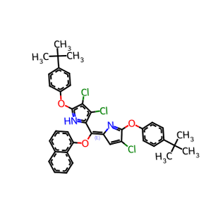 CC(C)(C)c1ccc(OC2=N/C(=C(/Oc3cccc4ccccc34)c3[nH]c(Oc4ccc(C(C)(C)C)cc4)c(Cl)c3Cl)C=C2Cl)cc1